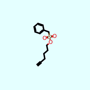 C#CCCCCOS(=O)(=O)Cc1ccccc1